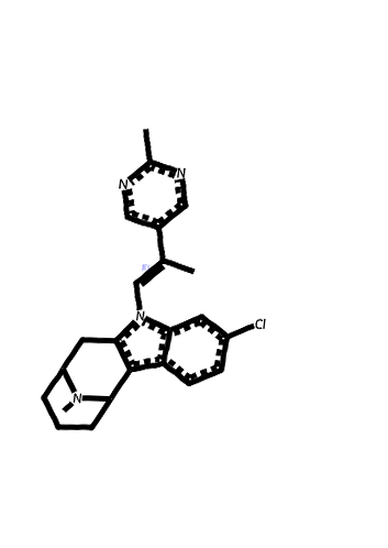 C/C(=C\n1c2c(c3ccc(Cl)cc31)C1CCCC(C2)N1C)c1cnc(C)nc1